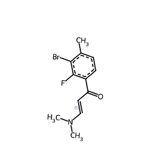 Cc1ccc(C(=O)/C=C/N(C)C)c(F)c1Br